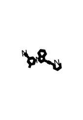 Cc1cc(C#N)cc(-n2cc(C#Cc3ccccn3)c3ccccc32)c1